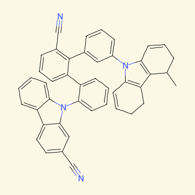 CC1CC=Cc2c1c1c(n2-c2cccc(-c3c(C#N)cccc3-c3ccccc3-n3c4ccccc4c4ccc(C#N)cc43)c2)C=CCC1